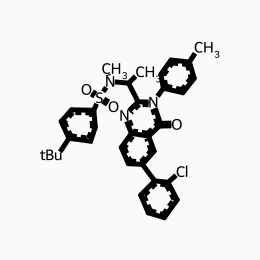 Cc1ccc(-n2c(C(C)N(C)S(=O)(=O)c3ccc(C(C)(C)C)cc3)nc3ccc(-c4ccccc4Cl)cc3c2=O)cc1